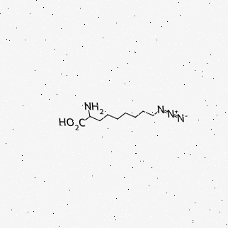 [N-]=[N+]=NCCCCCCCC(N)C(=O)O